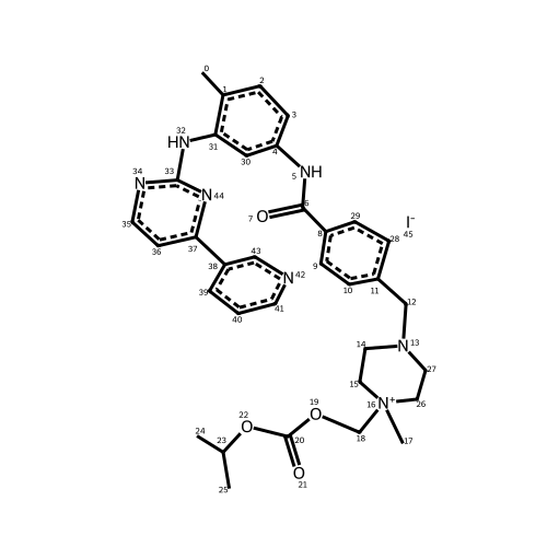 Cc1ccc(NC(=O)c2ccc(CN3CC[N+](C)(COC(=O)OC(C)C)CC3)cc2)cc1Nc1nccc(-c2cccnc2)n1.[I-]